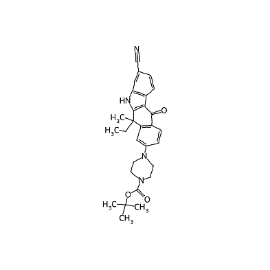 CCC1(C)c2cc(N3CCN(C(=O)OC(C)(C)C)CC3)ccc2C(=O)c2c1[nH]c1cc(C#N)ccc21